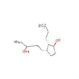 CCCCCC(O)CC[C@H]1CC[C@H](O)[C@H]1CCC(=O)OCC